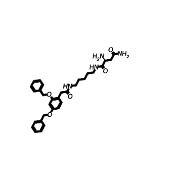 NC(=O)C[C@@H](N)C(=O)NCCCCCNC(=O)Cc1ccc(OCc2ccccc2)cc1OCc1ccccc1